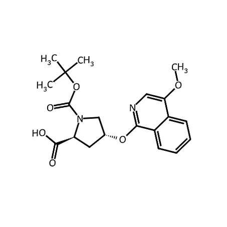 COc1cnc(O[C@@H]2C[C@@H](C(=O)O)N(C(=O)OC(C)(C)C)C2)c2ccccc12